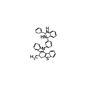 CC1CC2=C(c3c1c1ccccc1n3-c1cccc(C3NC(C4=CC=CCC4)Nc4ccccc43)c1)C1C=CC=CC1S2